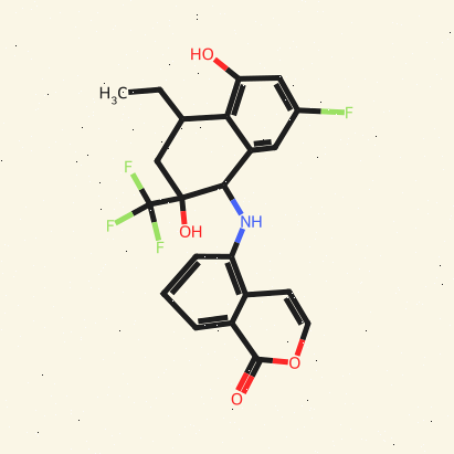 CCC1CC(O)(C(F)(F)F)C(Nc2cccc3c(=O)occc23)c2cc(F)cc(O)c21